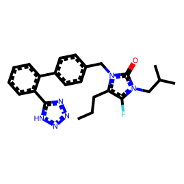 CCCc1c(F)n(CC(C)C)c(=O)n1Cc1ccc(-c2ccccc2-c2nnn[nH]2)cc1